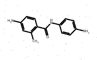 Cc1cc(N)ccc1C(=O)Nc1ccc(N)cc1